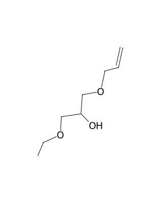 C=CCOCC(O)COCC